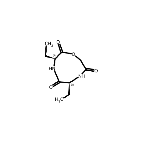 CC[C@@H]1NC(=O)COC(=O)[C@H](CC)NC1=O